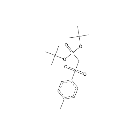 Cc1ccc(S(=O)(=O)CP(=O)(OC(C)(C)C)OC(C)(C)C)cc1